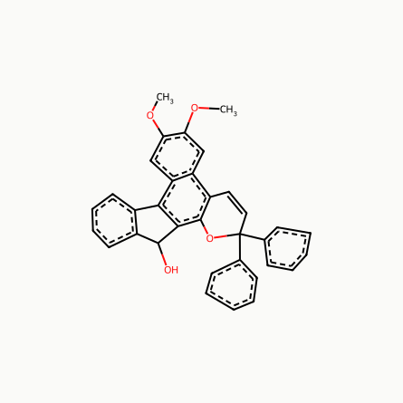 COc1cc2c3c(c4c(c2cc1OC)-c1ccccc1C4O)OC(c1ccccc1)(c1ccccc1)C=C3